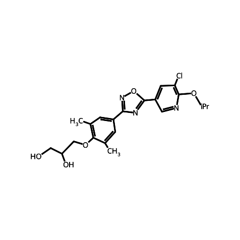 Cc1cc(-c2noc(-c3cnc(OC(C)C)c(Cl)c3)n2)cc(C)c1OCC(O)CO